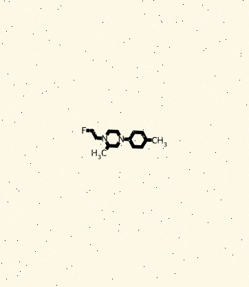 CC1CCC(N2CCN(CCF)C(C)C2)CC1